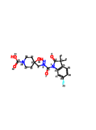 CC1(C)C(=O)N(C(=O)NCC2(O)CCN(C(=O)O)CC2)c2cc(F)ccc21